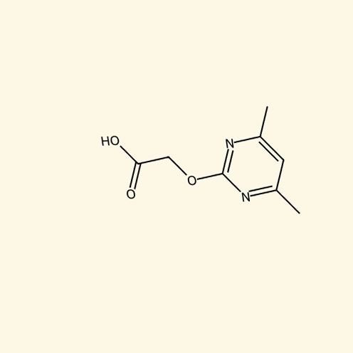 Cc1cc(C)nc(OCC(=O)O)n1